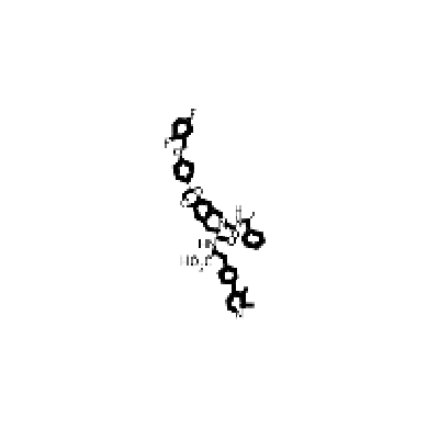 Cc1nccc(-c2ccc(C[C@H](NC(=O)[C@@H]3Cc4cc5c(cc4CN3C(=O)N[C@H](C)c3ccccc3)O[C@@H](c3ccc(OCc4cc(F)ccc4F)cc3)CO5)C(=O)O)cc2)c1C